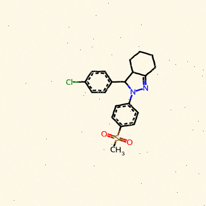 CS(=O)(=O)c1ccc(N2N=C3CCCCC3C2c2ccc(Cl)cc2)cc1